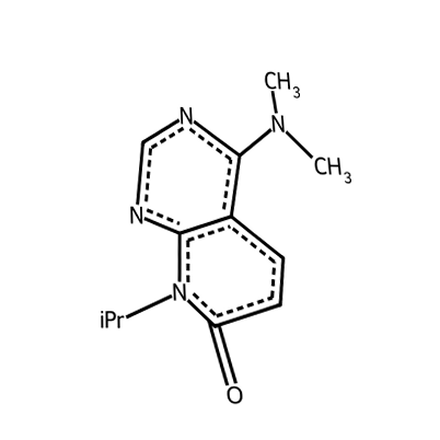 CC(C)n1c(=O)ccc2c(N(C)C)ncnc21